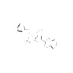 Oc1cc(-c2nc3ccccc3n2C2CCC2)cc(OC(F)(F)F)c1OCc1ccccc1